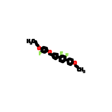 CCCCOc1ccc(OCc2ccc(-c3ccc(C4CCC(OCCC)CC4)c(F)c3F)cc2)cc1F